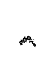 O=C(CCn1cccn1)Nc1cccc(-c2ccc(N3CCCC3)nn2)c1